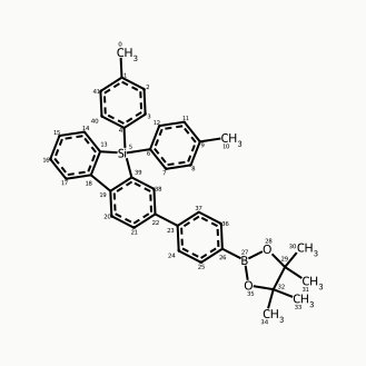 Cc1ccc([Si]2(c3ccc(C)cc3)c3ccccc3-c3ccc(-c4ccc(B5OC(C)(C)C(C)(C)O5)cc4)cc32)cc1